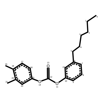 CCCCCCc1cccc(OC(=O)Oc2ccc(C)c(C)c2)c1